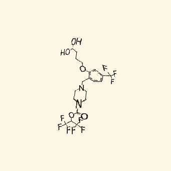 O=C(OC(C(F)(F)F)C(F)(F)F)N1CCN(Cc2ccc(C(F)(F)F)cc2OCCCC(O)O)CC1